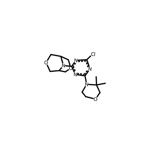 CC1(C)COCCN1c1nc(Cl)nc(N2C3COCC2COC3)n1